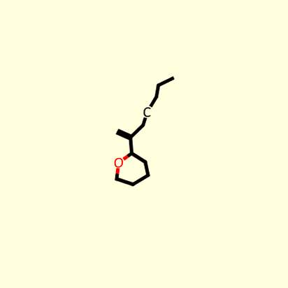 C=C(CCCCC)C1CCCCO1